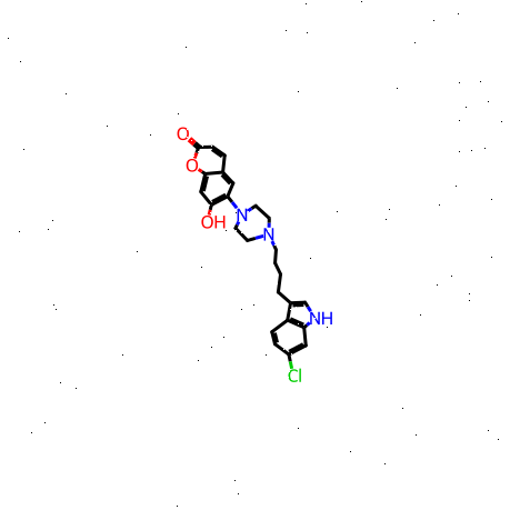 O=c1ccc2cc(N3CCN(CCCCc4c[nH]c5cc(Cl)ccc45)CC3)c(O)cc2o1